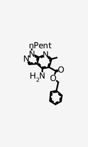 CCCCCn1ncc2c(N)c(C(=O)OCc3ccccc3)c(C)nc21